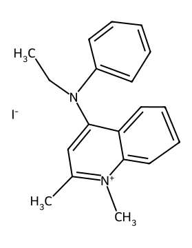 CCN(c1ccccc1)c1cc(C)[n+](C)c2ccccc12.[I-]